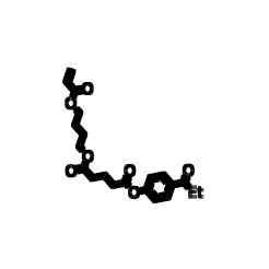 C=CC(=O)OCCCCOC(=O)CCCC(=O)Oc1ccc(C(=O)CC)cc1